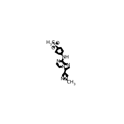 Cn1cc(-c2cnc3c(Nc4ccc(S(C)(=O)=O)cc4)nccn23)cn1